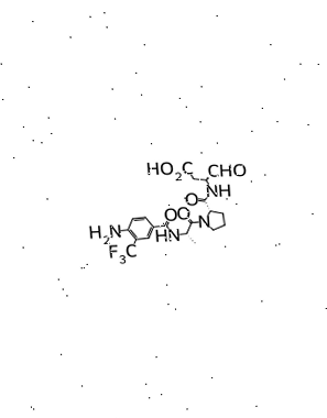 C[C@H](NC(=O)c1ccc(N)c(C(F)(F)F)c1)C(=O)N1CCC[C@H]1C(=O)N[C@H](C=O)CC(=O)O